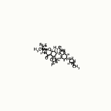 COc1cc(-c2c3c(C#N)cc(-c4cnn(C)c4)cc3nn2C)cc(OC(F)F)c1C(=O)N1CC(C)(C(F)F)C1